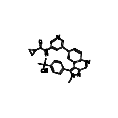 Cn1nc2cnc3ccc(-c4cncc(NC(=O)C5CC5)c4)cc3c2c1-c1ccc(C(C)(C)C#N)cc1